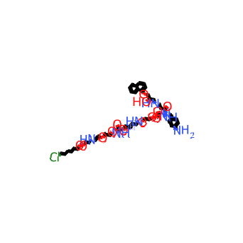 Nc1ccc(CN(NC(=O)OOCCONC/C=C/COC(=O)NOCCOCCNCCOOCCCCCCCl)C(=O)CCNCC(O)COc2cccc3ccccc23)cc1